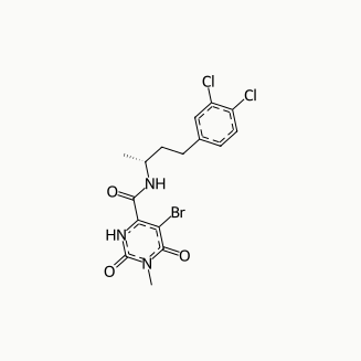 C[C@H](CCc1ccc(Cl)c(Cl)c1)NC(=O)c1[nH]c(=O)n(C)c(=O)c1Br